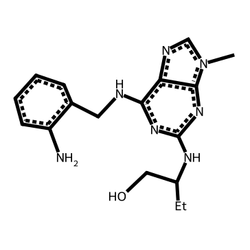 CCC(CO)Nc1nc(NCc2ccccc2N)c2ncn(C)c2n1